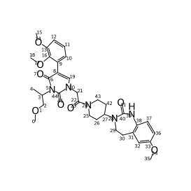 COCC(C)n1c(=O)c(-c2cccc(OC)c2OC)cn(CC(=O)N2CCC(N3CCc4cc(OC)ccc4NC3=O)CC2)c1=O